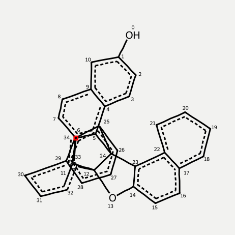 Oc1ccc2c3c(ccc2c1)OC12Oc4ccc5ccccc5c4C31c1cccc3cccc2c13